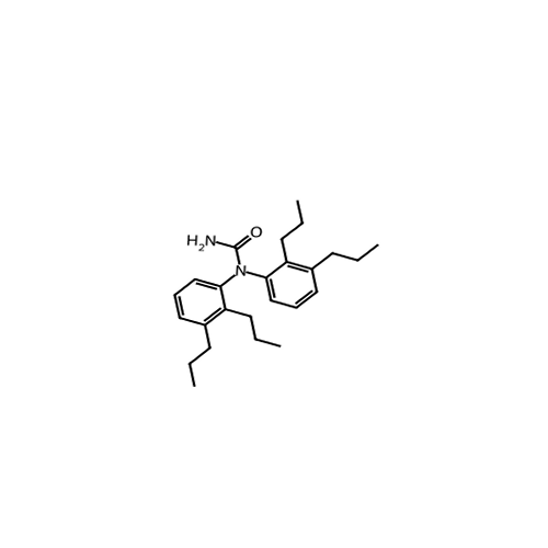 CCCc1cccc(N(C(N)=O)c2cccc(CCC)c2CCC)c1CCC